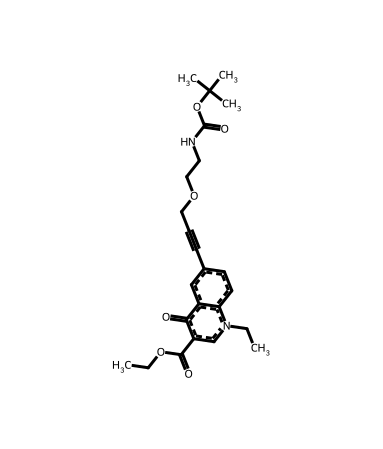 CCOC(=O)c1cn(CC)c2ccc(C#CCOCCNC(=O)OC(C)(C)C)cc2c1=O